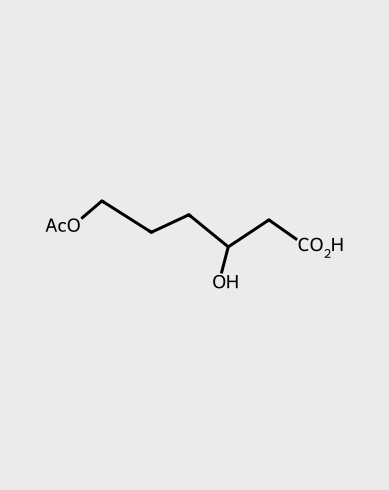 CC(=O)OCCCC(O)CC(=O)O